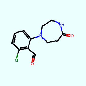 O=Cc1c(Cl)cccc1N1CCNC(=O)CC1